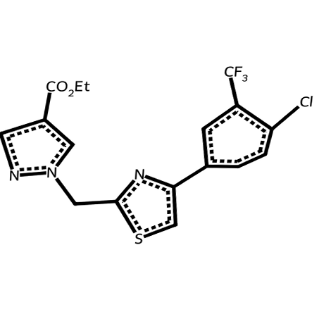 CCOC(=O)c1cnn(Cc2nc(-c3ccc(Cl)c(C(F)(F)F)c3)cs2)c1